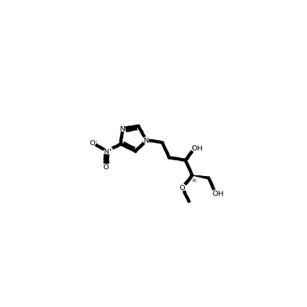 CO[C@H](CO)C(O)CCn1cnc([N+](=O)[O-])c1